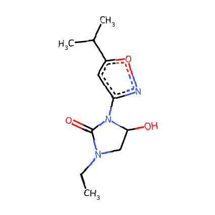 CCN1CC(O)N(c2cc(C(C)C)on2)C1=O